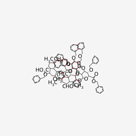 CC1C2CCC3C(C)(CC[C@H](O[C@@H]4OC(C(=O)OCc5ccccc5)[C@@H](OCc5ccccc5)C(O[C@@H]5OC[C@@H](OCc6ccccc6)C(OCc6ccccc6)C5OCc5ccccc5)C4O[C@@H]4OC(COCc5ccccc5)[C@H](OCc5ccccc5)C(OCc5ccccc5)C4OCc4ccccc4)C3(C)C=O)C2CC=C2C3CC(C)(C)CC[C@]3(C(=O)O)C(OCc3ccccc3)CC21C